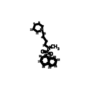 CN(CCCCN1CCCCC1)S(=O)(=O)c1cccc2ccccc12